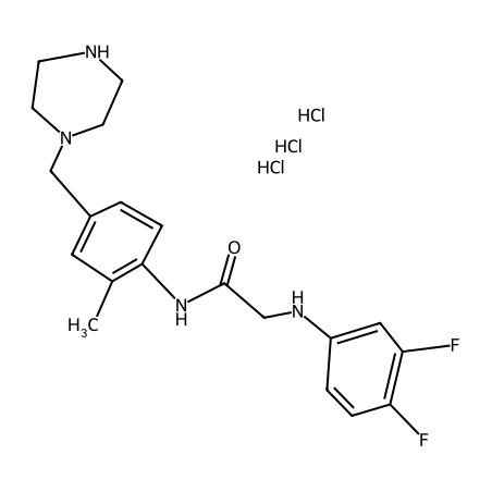 Cc1cc(CN2CCNCC2)ccc1NC(=O)CNc1ccc(F)c(F)c1.Cl.Cl.Cl